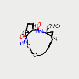 O=C[C@@]12C[C@H]1/C=C\CCCCCNC(=O)[C@@H]1CCC[C@H]1C(=O)N2